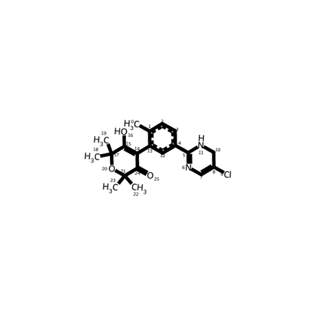 Cc1ccc(C2=NC=C(Cl)CN2)cc1C1=C(O)C(C)(C)OC(C)(C)C1=O